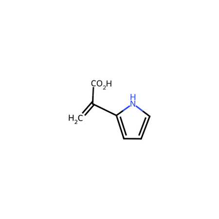 C=C(C(=O)O)c1ccc[nH]1